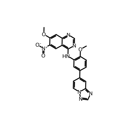 COc1ccc(-c2ccn3ncnc3c2)cc1Nc1ncnc2cc(OC)c([N+](=O)[O-])cc12